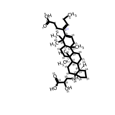 CC/C=C(\CCC(=O)O)C1=CCC2(C)C(CCC3(C)C2CCC2[C@H]4CCCC4(NCC(O)C(=O)O)CC[C@]23C)C1(C)C